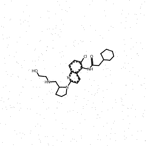 O=C(CC1CCCCC1)Nc1c(Cl)ccc2nc(N3CCCC3CNCCO)ccc12